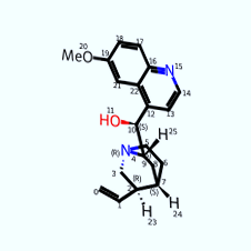 C=C[C@H]1C[N@]2CC[C@H]1C[C@H]2[C@@H](O)c1ccnc2ccc(OC)cc12